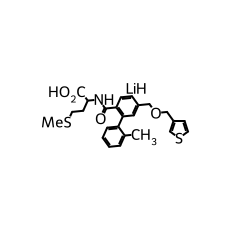 CSCCC(NC(=O)c1ccc(COCc2ccsc2)cc1-c1ccccc1C)C(=O)O.[LiH]